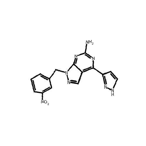 Nc1nc(-c2cc[nH]n2)c2cnn(Cc3cccc([N+](=O)[O-])c3)c2n1